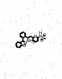 CS(=O)(=O)Nc1cccc(C[C@H](N)c2ccccc2-c2noc3ccccc23)n1